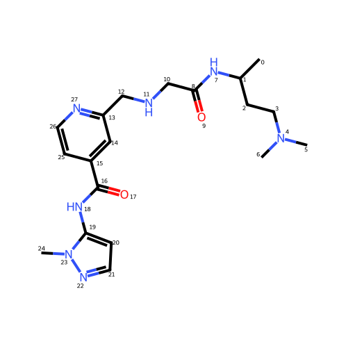 CC(CCN(C)C)NC(=O)CNCc1cc(C(=O)Nc2ccnn2C)ccn1